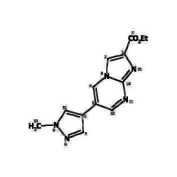 CCOC(=O)c1cn2cc(-c3cnn(C)c3)cnc2n1